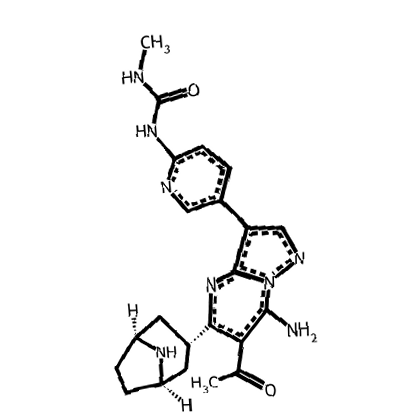 CNC(=O)Nc1ccc(-c2cnn3c(N)c(C(C)=O)c([C@@H]4C[C@H]5CC[C@@H](C4)N5)nc23)cn1